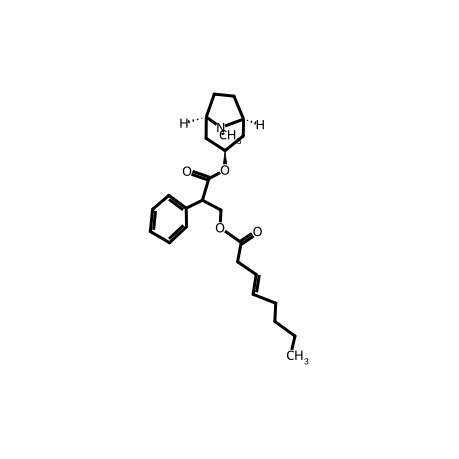 CCCCC=CCC(=O)OCC(C(=O)O[C@H]1C[C@H]2CC[C@@H](C1)N2C)c1ccccc1